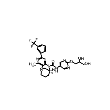 Cc1nc(-c2cccc(C(F)(F)F)c2)nc2c1N1CCC[C@@H](C1)N2C(=O)Nc1cnc(OCC(O)CO)nc1